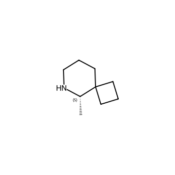 C[C@@H]1NCCCC12CCC2